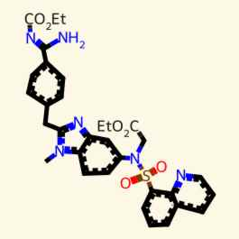 CCOC(=O)CN(c1ccc2c(c1)nc(Cc1ccc(C(N)=NC(=O)OCC)cc1)n2C)S(=O)(=O)c1cccc2cccnc12